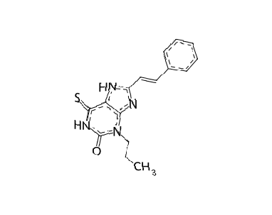 CCCn1c(=O)[nH]c(=S)c2[nH]c(C=Cc3ccccc3)nc21